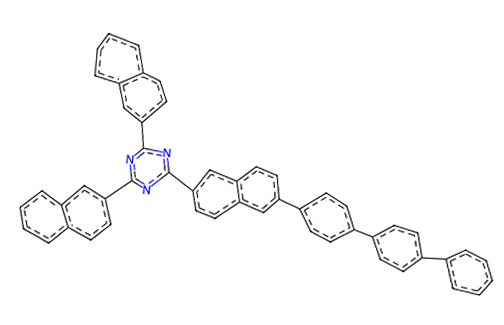 c1ccc(-c2ccc(-c3ccc(-c4ccc5cc(-c6nc(-c7ccc8ccccc8c7)nc(-c7ccc8ccccc8c7)n6)ccc5c4)cc3)cc2)cc1